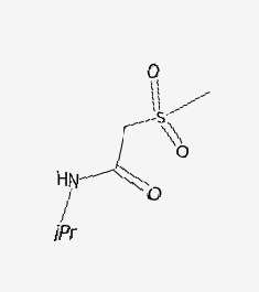 CC(C)NC(=O)CS(C)(=O)=O